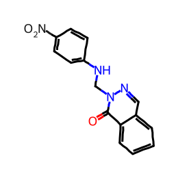 O=c1c2ccccc2cnn1CNc1ccc([N+](=O)[O-])cc1